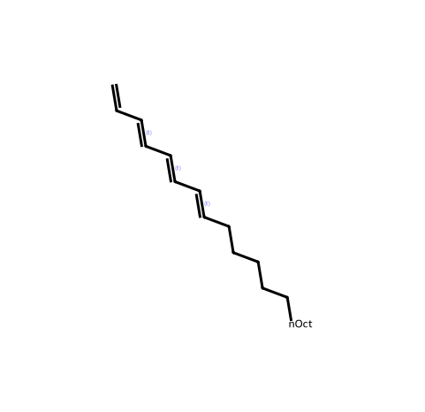 [CH]=C/C=C/C=C/C=C/CCCCCCCCCCCCC